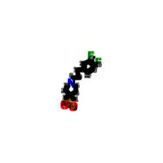 O=S1(=O)CC2(CCN(CCCc3ccc(F)c(F)c3)CC2)C1